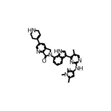 Cc1cnc(Nc2cc(C)n(C)n2)nc1-c1c[nH]c2c(N3Cc4cc(C5=CCNCC5)cnc4C3=O)cccc12